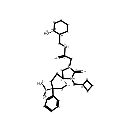 CN(C)[C@]1(c2ccccc2)CC[C@]2(CC1)CN(CC(=O)NCC1CCCC[C@H]1O)C(=O)N2CC1CCC1